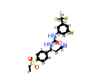 CCS(=O)(=O)c1ccc([C@H](CC#N)NC(=O)Nc2cc(F)cc(C(F)(F)F)c2)cc1